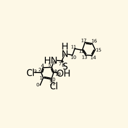 Cc1c(Cl)cc(NC(=S)NCCc2ccccc2)c(O)c1Cl